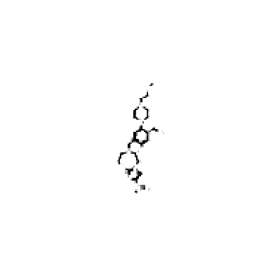 COCCN1CCN(c2cc(CN3CCOc4nc([N+](=O)[O-])cn4CC3)ccc2C=O)CC1